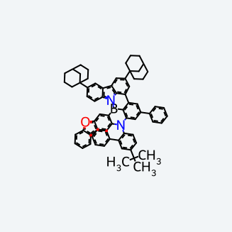 CC(C)(C)c1ccc(N2c3cc4c(cc3B3c5c(cc(-c6ccccc6)cc52)-c2cc(C56CCCC(CCC5)C6)cc5c6cc(C78CCCC(CCC7)C8)ccc6n3c25)oc2ccccc24)c(-c2ccccc2)c1